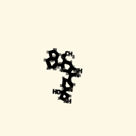 COc1cc2[nH]nc(-c3ccc(C4(O)CNC4)nc3)c2nc1-c1cccc2c1CCC2